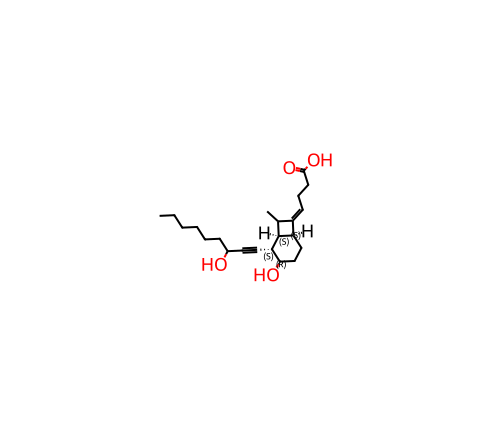 CCCCCCC(O)C#C[C@@H]1[C@H]2C(C)C(=CCCC(=O)O)[C@H]2CC[C@H]1O